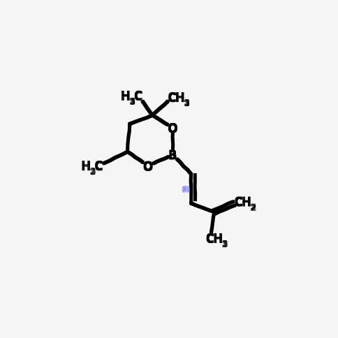 C=C(C)/C=C/B1OC(C)CC(C)(C)O1